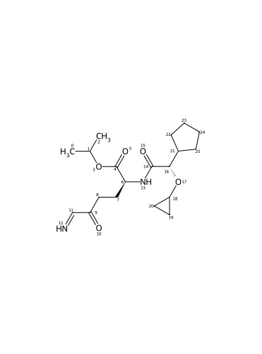 CC(C)OC(=O)[C@H](CCC(=O)C=N)NC(=O)[C@@H](OC1CC1)C1CCCC1